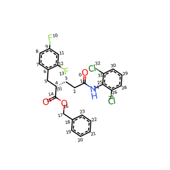 O=C(CC[C@@H](Cc1ccc(F)cc1F)C(=O)OCc1ccccc1)Nc1c(Cl)cccc1Cl